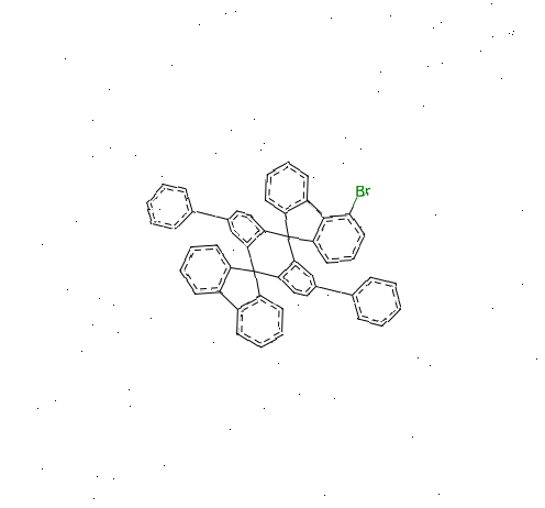 Brc1cccc2c1-c1ccccc1C21c2ccc(-c3ccccc3)cc2C2(c3ccccc3-c3ccccc32)c2ccc(-c3ccccc3)cc21